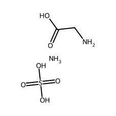 N.NCC(=O)O.O=S(=O)(O)O